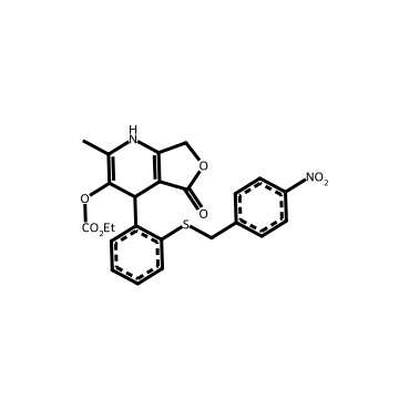 CCOC(=O)OC1=C(C)NC2=C(C(=O)OC2)C1c1ccccc1SCc1ccc([N+](=O)[O-])cc1